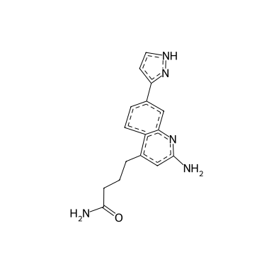 NC(=O)CCCc1cc(N)nc2cc(-c3cc[nH]n3)ccc12